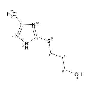 Cc1n[nH]c(SCCCO)n1